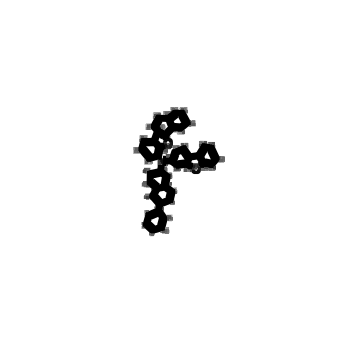 c1ccc(-c2ccc3cc(N(c4ccc5c(c4)oc4ccccc45)c4cccc5c4oc4c6ccccc6ccc54)ccc3c2)cc1